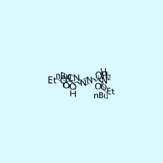 CCCCC(CC)COC(=O)/C(N)=C(O)\C=C\N1CCN(/C=C/C(O)=C(\C#N)C(=O)OCC(CC)CCCC)CC1